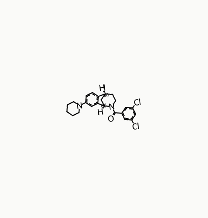 O=C(c1cc(Cl)cc(Cl)c1)N1CC[C@@H]2C[C@H]1c1cc(N3CCCCC3)ccc12